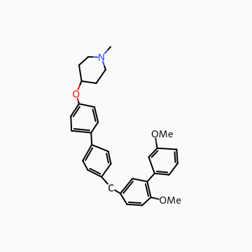 COc1cccc(-c2cc(Cc3ccc(-c4ccc(OC5CCN(C)CC5)cc4)cc3)ccc2OC)c1